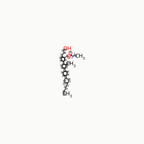 C/C=C/C(=O)OCc1cc(-c2ccc(-c3ccc(C4CCC(CCCCC)CC4)cc3)cc2C)ccc1CCCO